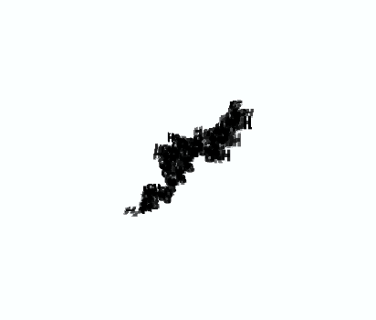 CCSCC1O[C@@H]2O[C@@H]3C(CO)O[C@@H](O[C@@H]4C(CO)O[C@@H](O[C@H]5C[C@H](O)[C@H](O[C@H]6C[C@H](O)[C@@H](O[C@@H]7C(CO)O[C@H](O[C@@H]8C(CO)OCC(O)[C@H]8O)[C@@H](O)C7O)OC6CO)OC5CSC[C@@H](N)C(=O)NCCC(=O)OCC(=O)OCOP(=O)(O)OC[C@H]5O[C@@H](n6ccc(N)nc6=O)C(F)(F)[C@@H]5O)[C@@H](O)C4O)[C@@H](O)C3OC2[C@@H](O)[C@@H]1O